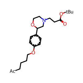 CC(=O)CCCCOc1ccc(C2CN(CCC(=O)OC(C)(C)C)CCO2)cc1